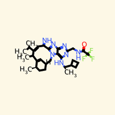 CC(C)/C1=C/C(=N)c2nc3nc(CNC(=O)C(F)(F)F)nc(N[C@H](C)C4CCC4)c3n2C[C@H]2C=C(C1C)[C@H](C)CC2